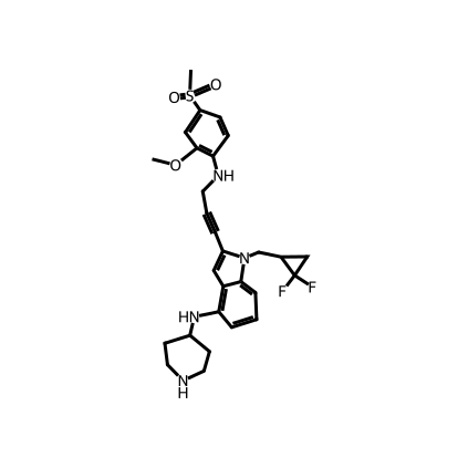 COc1cc(S(C)(=O)=O)ccc1NCC#Cc1cc2c(NC3CCNCC3)cccc2n1CC1CC1(F)F